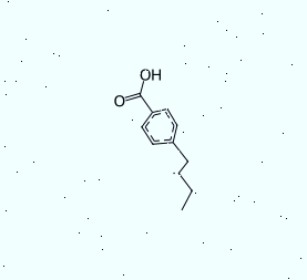 CC[CH]Cc1ccc(C(=O)O)cc1